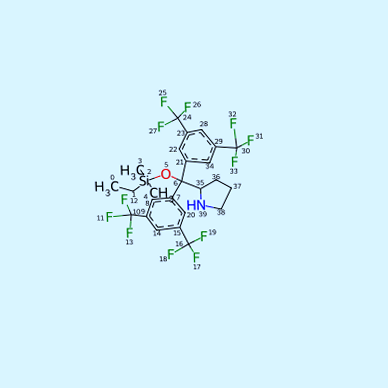 CC[Si](C)(C)OC(c1cc(C(F)(F)F)cc(C(F)(F)F)c1)(c1cc(C(F)(F)F)cc(C(F)(F)F)c1)C1CCCN1